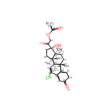 CC(=O)OCC(=O)[C@@]1(O)CC[C@H]2[C@@H]3C=C(Cl)C4=CC(=O)CC[C@]4(C)[C@H]3CC[C@@]21C